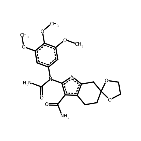 COc1cc(N(C(N)=O)c2sc3c(c2C(N)=O)CCC2(C3)OCCO2)cc(OC)c1OC